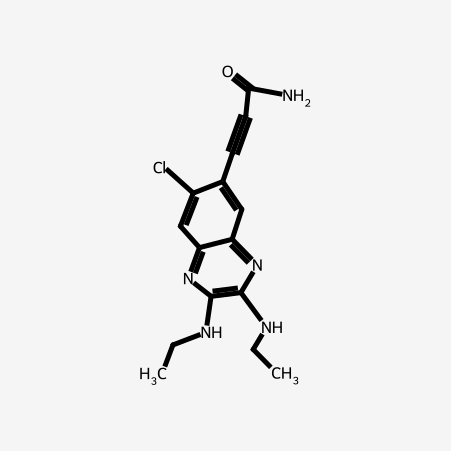 CCNc1nc2cc(Cl)c(C#CC(N)=O)cc2nc1NCC